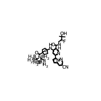 BC(B)(B)N(C(=O)C12CCC(Nc3cc(-c4ccc5cc(C#N)cnn45)ncc3C(=O)NC[C@@H](F)C(C)(C)O)(CC1)CC2)C(B)(B)B